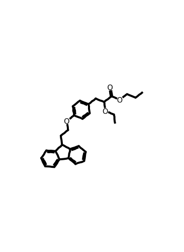 CCCOC(=O)C(Cc1ccc(OCCC2c3ccccc3-c3ccccc32)cc1)OCC